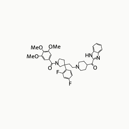 COc1cc(C(=O)N2CCC(CCN3CCC(C(=O)c4nc5ccccc5[nH]4)CC3)(c3ccc(F)cc3F)C2)cc(OC)c1OC